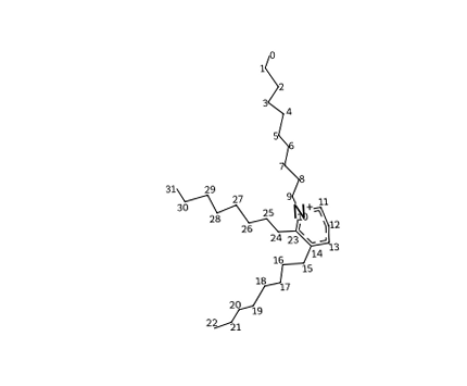 CCCCCCCCCC[n+]1cccc(CCCCCCCC)c1CCCCCCCC